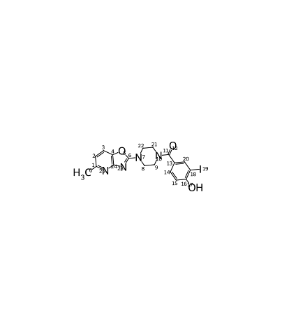 Cc1ccc2oc(N3CCN(C(=O)c4ccc(O)c(I)c4)CC3)nc2n1